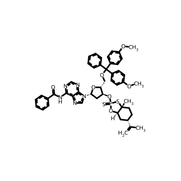 C=C(C)[C@H]1CC[C@@]2(C)SP(=S)(O[C@H]3C[C@H](n4cnc5c(NC(=O)c6ccccc6)ncnc54)O[C@@H]3COC(c3ccccc3)(c3ccc(OC)cc3)c3ccc(OC)cc3)O[C@@H]2C1